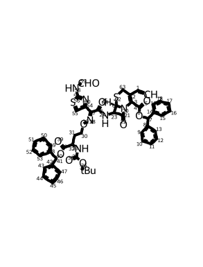 C=CC1=C(C(=O)OC(c2ccccc2)c2ccccc2)N2C(=O)C(NC(=O)C(=NOCCC(NC(=O)OC(C)(C)C)C(=O)OC(c3ccccc3)c3ccccc3)c3csc(NC=O)n3)[C@@H]2SC1